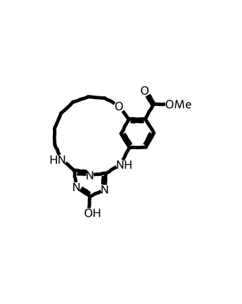 COC(=O)c1ccc2cc1OCCCCCCNc1nc(O)nc(n1)N2